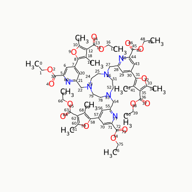 CCOC(=O)c1cc(-c2oc(C)c(C(=O)OCC)c2C)cc(CN2CCN(Cc3cc(-c4oc(C)c(C(=O)OCC)c4C)cc(C(=O)OCC)n3)CCN(Cc3cc(-c4oc(C)c(C(=O)OCC)c4C)cc(C(=O)OCC)n3)CC2)n1